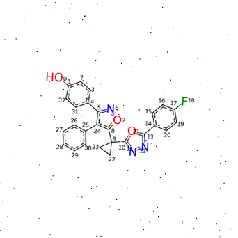 Oc1ccc(-c2noc(C3(c4nnc(-c5ccc(F)cc5)o4)CC3)c2-c2ccccc2)cc1